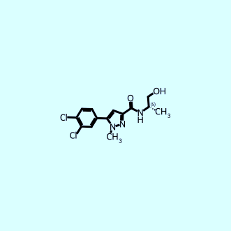 C[C@@H](CO)NC(=O)c1cc(-c2ccc(Cl)c(Cl)c2)n(C)n1